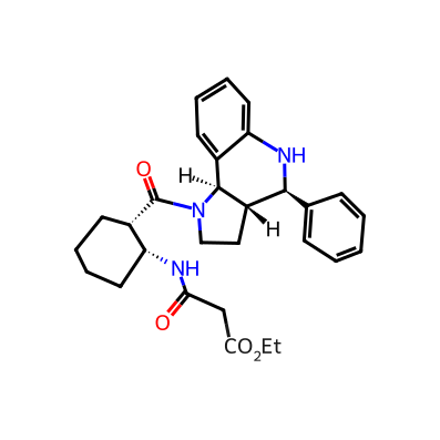 CCOC(=O)CC(=O)N[C@@H]1CCCC[C@@H]1C(=O)N1CC[C@H]2[C@H](c3ccccc3)Nc3ccccc3[C@@H]21